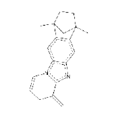 C=C1CC=Cn2c1nc1cc3c(cc12)C1(C)CCC3(C)C1